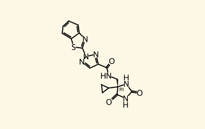 O=C1NC(=O)[C@](CNC(=O)c2cnn(-c3nc4ccccc4s3)n2)(C2CC2)N1